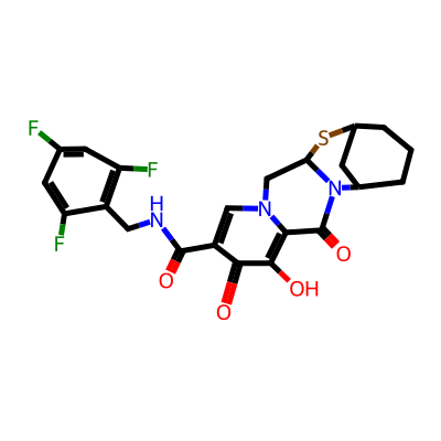 O=C(NCc1c(F)cc(F)cc1F)c1cn2c(c(O)c1=O)C(=O)N1C3CCCC(C3)SC1C2